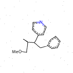 COCC(C)[C](Cc1ccccc1)c1ccncc1